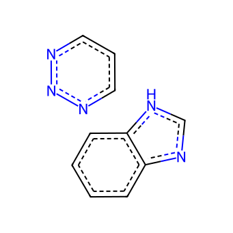 c1ccc2[nH]cnc2c1.c1cnnnc1